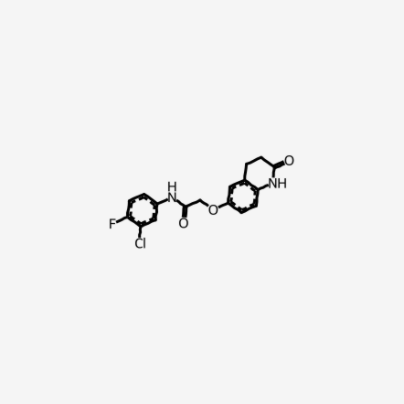 O=C(COc1ccc2c(c1)CCC(=O)N2)Nc1ccc(F)c(Cl)c1